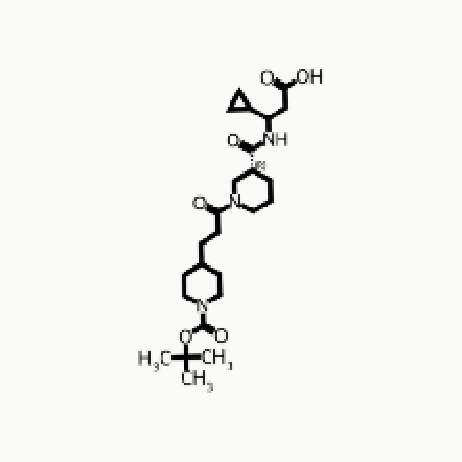 CC(C)(C)OC(=O)N1CCC(CCC(=O)N2CCC[C@@H](C(=O)NC(CC(=O)O)C3CC3)C2)CC1